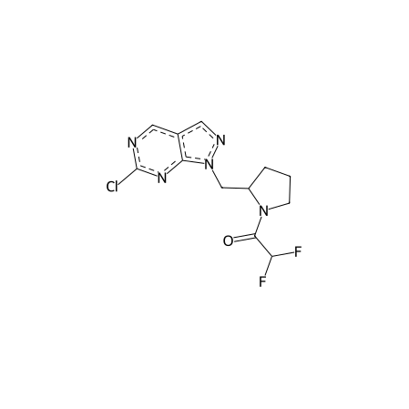 O=C(C(F)F)N1CCCC1Cn1ncc2cnc(Cl)nc21